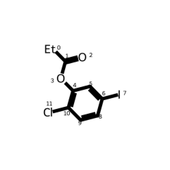 CCC(=O)Oc1cc(I)ccc1Cl